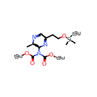 Cc1ncc(CCO[Si](C)(C)C(C)(C)C)nc1N(C(=O)OC(C)(C)C)C(=O)OC(C)(C)C